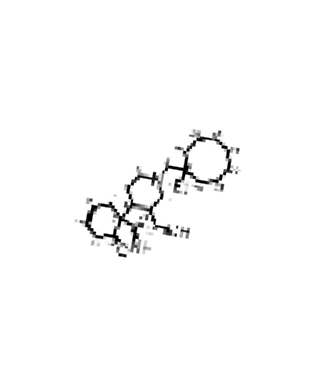 CCC1(CN2CCC(C3([C]=N)CC=CCC3=O)C(CO)C2)CCCCCCC1